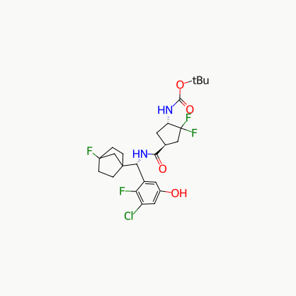 CC(C)(C)OC(=O)N[C@H]1C[C@H](C(=O)N[C@H](c2cc(O)cc(Cl)c2F)C23CCC(F)(CC2)C3)CC1(F)F